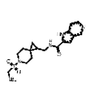 CC(C)(C)CS(=O)(=O)N1CCC2(CC1)CC2CNC(=O)c1cc2cnccc2[nH]1